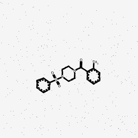 Cc1ccccc1C(=O)N1CCN(S(=O)(=O)c2ccccc2)CC1